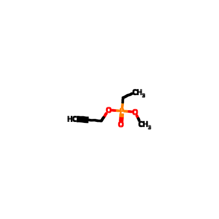 C#CCOP(=O)(CC)OC